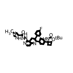 Cn1cnc(C(=O)NNc2nccc3nc(-c4ccc(C5(NC(=O)OC(C)(C)C)CCC5)cc4)c(-c4ccc(F)cc4)cc23)c1